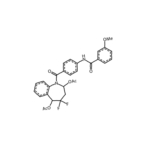 COc1cccc(C(=O)Nc2ccc(C(=O)N3c4ccccc4C(OC(C)=O)C(F)(F)CC3OC(C)=O)cc2)c1